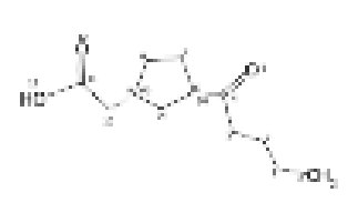 CCCCC(=O)[C@H]1CC[C@@H](CC(=O)O)C1